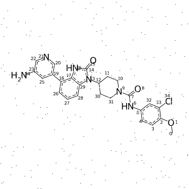 COc1ccc(NC(=O)N2CCC(n3c(=O)[nH]c4c(-c5cncc(N)c5)cccc43)CC2)cc1Cl